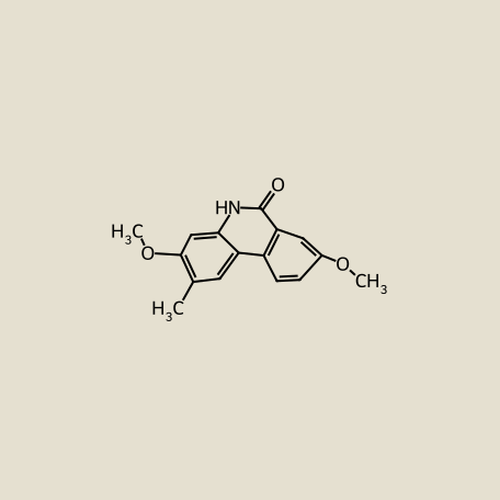 COc1ccc2c(c1)c(=O)[nH]c1cc(OC)c(C)cc12